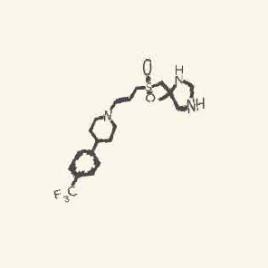 CC1(CS(=O)(=O)CC=CN2CCC(c3ccc(C(F)(F)F)cc3)CC2)CNCN1